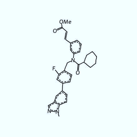 COC(=O)/C=C/c1cccc(N(Cc2ccc(-c3ccc4c(cnn4C)c3)cc2F)C(=O)C2CCCCC2)c1